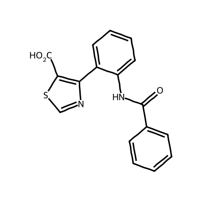 O=C(Nc1ccccc1-c1ncsc1C(=O)O)c1ccccc1